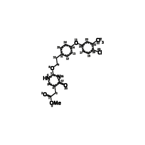 COC(=O)Cc1c[nH]c(OCCc2ccc(Oc3ccc(Cl)c(C(F)(F)F)c3)cc2)nc1=O